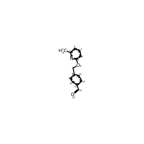 Cc1cccc(OCc2ccc(C=O)cc2)n1